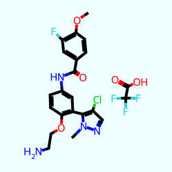 COc1ccc(C(=O)Nc2ccc(OCCN)c(-c3c(Cl)cnn3C)c2)cc1F.O=C(O)C(F)(F)F